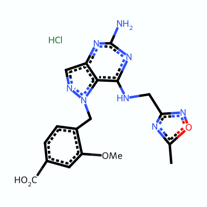 COc1cc(C(=O)O)ccc1Cn1ncc2nc(N)nc(NCc3noc(C)n3)c21.Cl